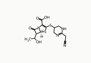 CC(O)C1C(=O)N2C(C(=O)O)=C(SC3CN=C(CC#N)NC3)S[C@@H]12